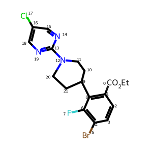 CCOC(=O)c1ccc(Br)c(F)c1C1CCN(c2ncc(Cl)cn2)CC1